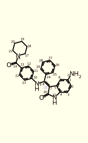 Nc1ccc2c(c1)/C(=C(/Nc1ccc(C(=O)N3CCCCC3)cc1)c1ccccc1)C(=O)N2